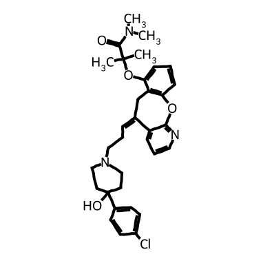 CN(C)C(=O)C(C)(C)Oc1cccc2c1C/C(=C/CCN1CCC(O)(c3ccc(Cl)cc3)CC1)c1cccnc1O2